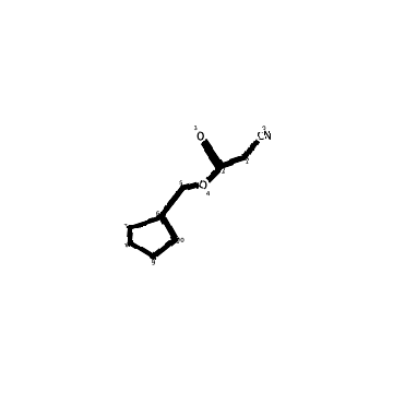 N#CCC(=O)OCC1CCCC1